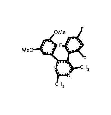 COc1cc(OC)cc(-c2nc(C)nc(C)c2-c2c(F)cc(F)cc2F)c1